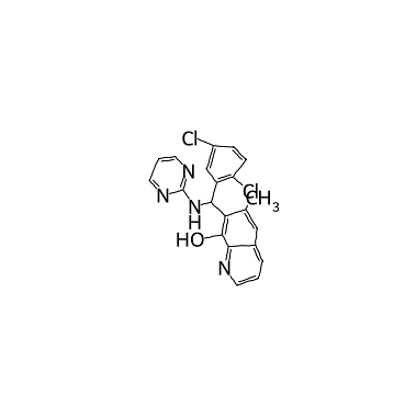 Cc1cc2cccnc2c(O)c1C(Nc1ncccn1)c1cc(Cl)ccc1Cl